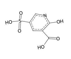 O=C(O)c1cc(S(=O)(=O)O)cnc1O